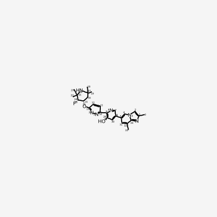 Cc1cn2cc(-c3cnc(-c4ccc(O[C@H]5CC(C)(C)NC(C)(C)[C@H]5F)nn4)c(O)c3)cc(C)c2n1